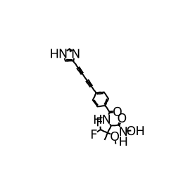 COC(C)(C(F)F)C(NC(=O)c1ccc(C#CC#Cc2c[nH]cn2)cc1)C(=O)NO